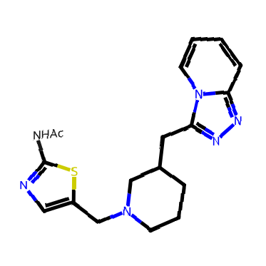 CC(=O)Nc1ncc(CN2CCCC(Cc3nnc4ccccn34)C2)s1